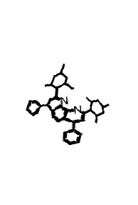 CC1CC(C)C(c2cc(-c3ccccc3)c3ccc4c(-c5ccccc5)cc(C5C(C)CC(C)CC5C)nc4c3n2)C(C)C1